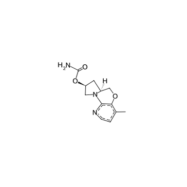 Cc1ccnc2c1OC[C@@H]1C[C@H](OC(N)=O)CN21